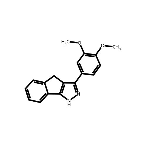 COc1ccc(-c2n[nH]c3c2Cc2ccccc2-3)cc1OC